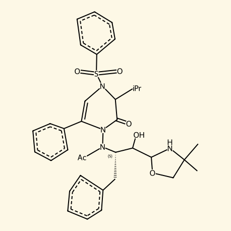 CC(=O)N([C@@H](Cc1ccccc1)C(O)C1NC(C)(C)CO1)N1C(=O)C(C(C)C)N(S(=O)(=O)c2ccccc2)C=C1c1ccccc1